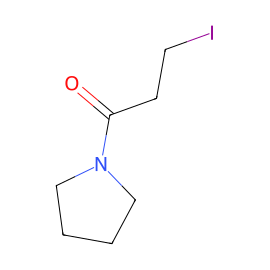 O=C(CCI)N1CCCC1